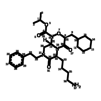 CC(C)OC(=O)N1O[C@@H](CC2CCCCC2)C(=O)N2[C@@H]1CN(CCc1ccccc1)C(=O)[C@@H]2CCCCN